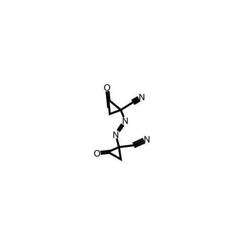 N#CC1(N=NC2(C#N)CC2=O)CC1=O